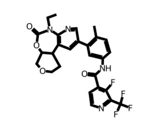 CCN1C(=O)OC2COCCC2c2cc(-c3cc(NC(=O)c4ccnc(C(F)(F)F)c4F)ccc3C)cnc21